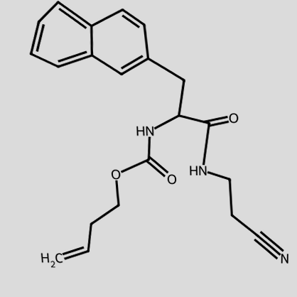 C=CCCOC(=O)NC(Cc1ccc2ccccc2c1)C(=O)NCCC#N